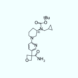 CC(C)(C)OC(=O)N(CC1CC1)[C@@H]1CCCN(c2ccc(C3(C(N)=O)COC3)cn2)C1